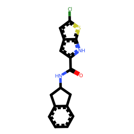 O=C(NC1Cc2ccccc2C1)c1cc2cc(Cl)sc2[nH]1